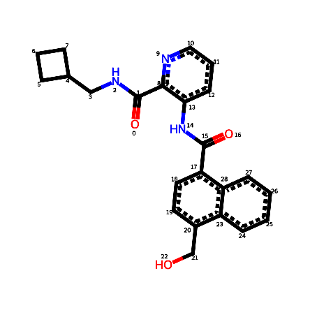 O=C(NCC1CCC1)c1ncccc1NC(=O)c1ccc(CO)c2ccccc12